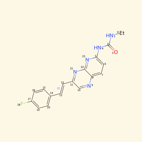 CCNC(=O)Nc1ccc2ncc(/C=C/c3ccc(F)cc3)nc2n1